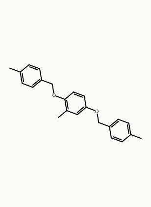 Cc1ccc(COc2ccc(OCc3ccc(C)cc3)c(C)c2)cc1